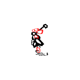 CC(C)(C)[Si](C)(C)OC1CC[C@H]2[C@@]34CC[C@]5(C=CC(=O)[C@H](OC(=O)c6ccccc6)C5=CC3=CC[C@]12C)O4